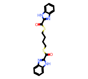 O=C(SCCCCSC(=O)c1nc2ccccc2[nH]1)c1nc2ccccc2[nH]1